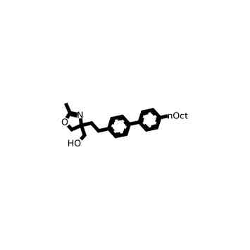 CCCCCCCCc1ccc(-c2ccc(CCC3(CO)COC(C)=N3)cc2)cc1